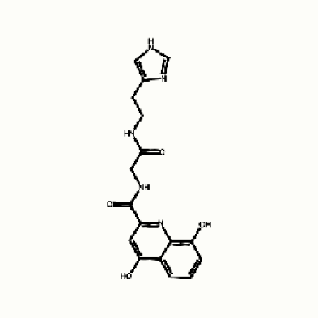 O=C(CNC(=O)c1cc(O)c2cccc(O)c2n1)NCCc1c[nH]cn1